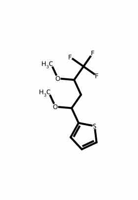 COC(CC(OC)C(F)(F)F)c1cccs1